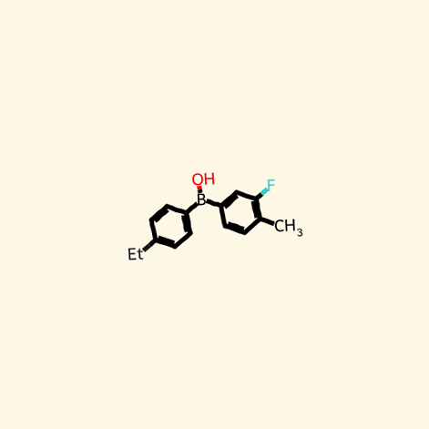 CCc1ccc(B(O)c2ccc(C)c(F)c2)cc1